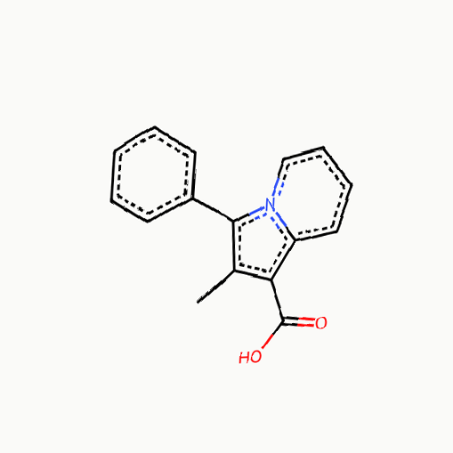 Cc1c(C(=O)O)c2ccccn2c1-c1ccccc1